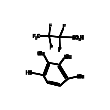 CC(C)(C)c1ccc(S)c(C(C)(C)C)c1C(C)(C)C.O=S(=O)(O)C(F)(F)C(F)(F)C(F)(F)F